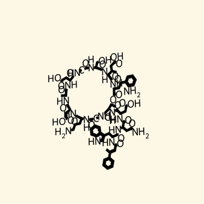 C/C(=C\C(=O)NC(Cc1c[nH]c2ccccc12)C(=O)NC(CC(N)=O)C(=O)NC(CC(=O)O)C(=O)NC1C(=O)NCC(=O)NC(CCCN)C(=O)NC(CC(=O)O)C(=O)NC(C)C(=O)NC(CC(=O)O)C(=O)NCC(=O)NC(CO)C(=O)NC(C(C)CC(=O)O)C(=O)NC(CC(=O)c2ccccc2N)C(=O)OC1C)c1ccccc1